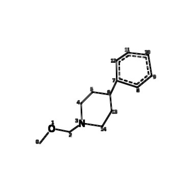 COCN1CCC(c2ccccc2)CC1